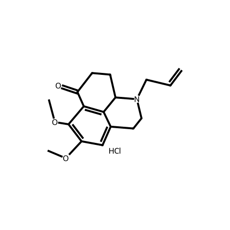 C=CCN1CCc2cc(OC)c(OC)c3c2C1CCC3=O.Cl